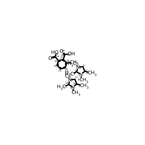 CC1CN(C)C(C)N1C.CC1CN(C)C(C)N1C.Cc1cccc(C(=O)O)c1C(=O)O